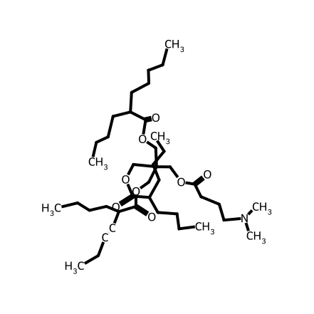 CCCCCC(CCCC)C(=O)OCC(COC(=O)CCCN(C)C)(COC(=O)C(CCCC)CCCC)COC(=O)C(CCCC)CCCC